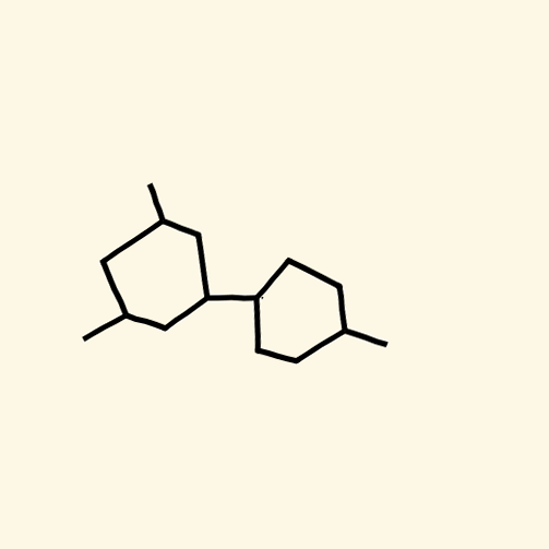 CC1CC[C](C2CC(C)CC(C)C2)CC1